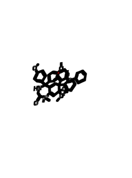 COc1ccc(C2(c3ccc(OC)cc3)NCC(=O)[N+](C)(C)C3=CC(OC)(OC)C(c4ccccc4Oc4ccccc4)(c4c(F)cccc4OC)C=C32)cc1